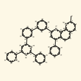 Cc1ccc2ccc3c(-c4ccccc4)cc(-c4cccc(-c5cccc(-c6cc(-c7ccccn7)nc(-c7ccccc7)n6)c5)c4)nc3c2n1